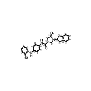 CCc1ccccc1Nc1ccc(NC(=O)C2CC(=O)N(C3Cc4ccccc4C3)C2)cc1